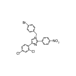 O=[N+]([O-])c1ccc(-c2nc(-c3ccc(Cl)cc3Cl)cn2Cc2ccc(Br)cc2)cc1